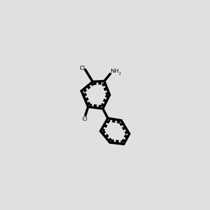 Nc1cc(-c2ccccc2)c(Cl)cc1Cl